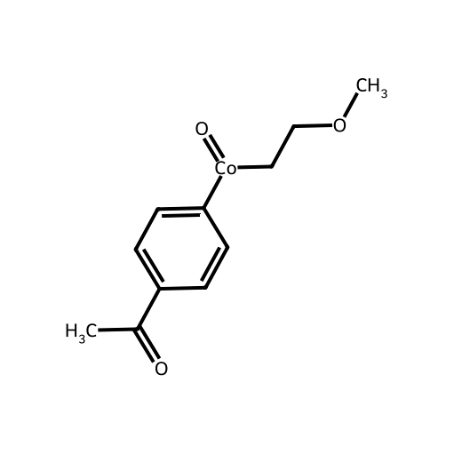 COC[CH2][Co](=[O])[c]1ccc(C(C)=O)cc1